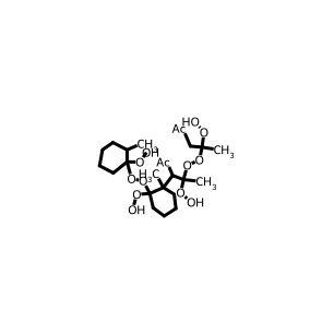 CC(=O)CC(C)(OO)OOC(C)(OO)C(C(C)=O)C1(C)CCCCC1(OO)OOC1(OO)CCCCC1C